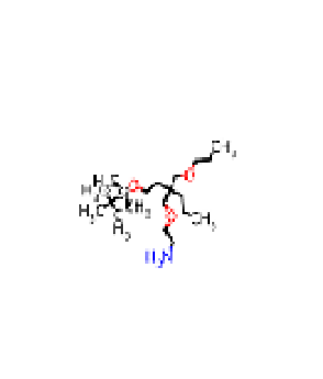 CCCOC[C@](CCC)(CCO[Si](C)(C)C(C)(C)C)COCCN